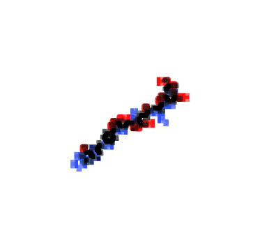 Nc1nc2ncc(CNc3ccc(C(=O)N[C@@H](CCC(=O)N[C@@H](CCC(=O)NC[C@H](N)C(=O)N[C@@H](CC(=O)O)C(=O)NCC(=O)O)C(=O)O)C(=O)O)cc3)nc2c(=O)[nH]1